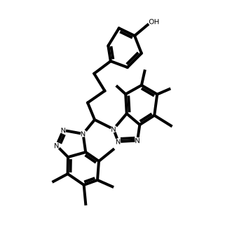 Cc1c(C)c(C)c2c(nnn2C(CCCc2ccc(O)cc2)n2nnc3c(C)c(C)c(C)c(C)c32)c1C